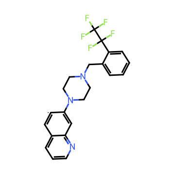 FC(F)(F)C(F)(F)c1ccccc1CN1CCN(c2[c]cc3cccnc3c2)CC1